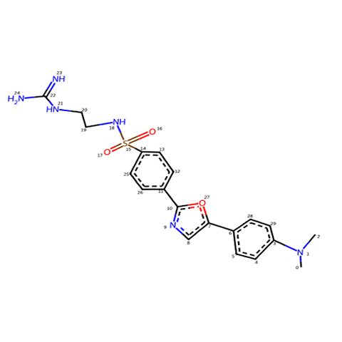 CN(C)c1ccc(-c2cnc(-c3ccc(S(=O)(=O)NCCNC(=N)N)cc3)o2)cc1